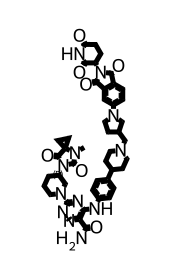 CN1C(=O)N([C@@H]2CCCN(c3nnc(C(N)=O)c(Nc4ccc(C5CCN(CC6CCN(c7ccc8c(c7)C(=O)N(C7CCC(=O)NC7=O)C8=O)C6)CC5)cc4)n3)C2)C(=O)C12CC2